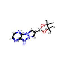 CC1(C)OB(c2cn3c4nccnc4[nH][n+]3c2)OC1(C)C